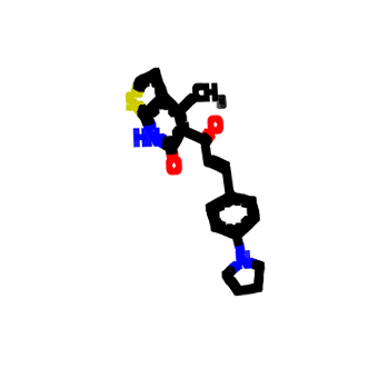 Cc1c(C(=O)/C=C/c2ccc(N3CCCC3)cc2)c(=O)[nH]c2sccc12